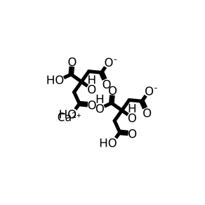 O=C([O-])CC(O)(CC(=O)O)C(=O)O.O=C([O-])CC(O)(CC(=O)O)C(=O)O.[Ca+2]